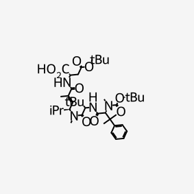 C/C(=C\[C@H](C(C)C)N(C)C(=O)C(NC(=O)[C@@H](N(C)C(=O)OC(C)(C)C)C(C)(C)c1ccccc1)C(C)(C)C)C(=O)N[C@@H](CC(=O)OC(C)(C)C)C(=O)O